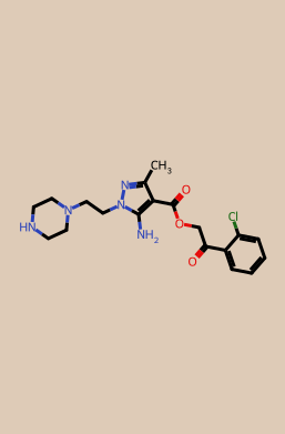 Cc1nn(CCN2CCNCC2)c(N)c1C(=O)OCC(=O)c1ccccc1Cl